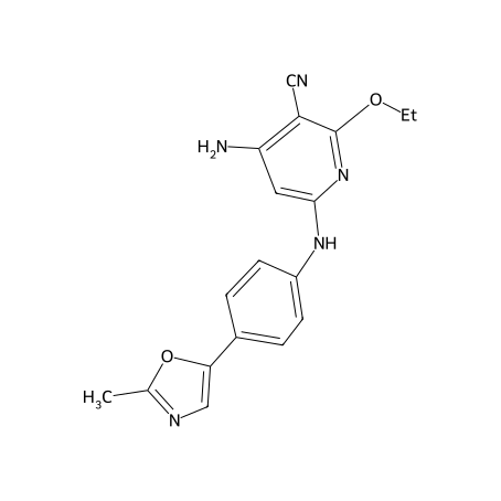 CCOc1nc(Nc2ccc(-c3cnc(C)o3)cc2)cc(N)c1C#N